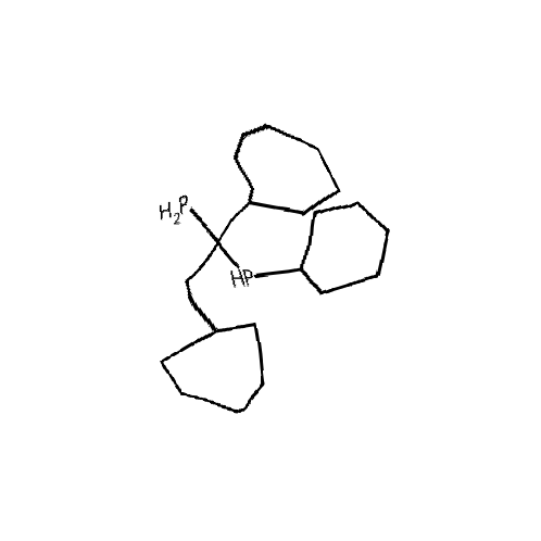 PC(CC1CCCCC1)(PC1CCCCC1)C1CCCCC1